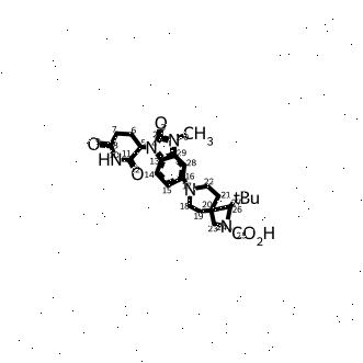 Cn1c(=O)n(C2CCC(=O)NC2=O)c2ccc(N3CCC4(CC3)CN(C(=O)O)C4C(C)(C)C)cc21